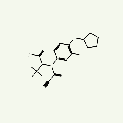 C#CC(=O)N(c1ccc(OC2CCCC2)c(Cl)c1)C(C(N)=O)C(C)(C)C